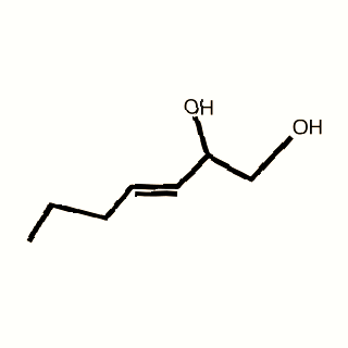 CCCC=CC(O)CO